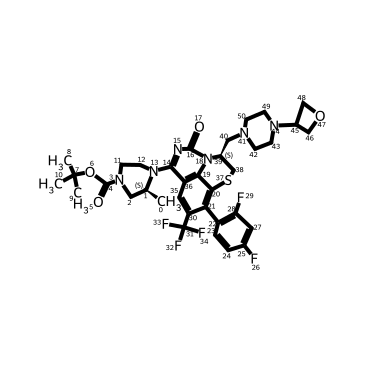 C[C@H]1CN(C(=O)OC(C)(C)C)CCN1c1nc(=O)n2c3c(c(-c4ccc(F)cc4F)c(C(F)(F)F)cc13)SC[C@@H]2CN1CCN(C2COC2)CC1